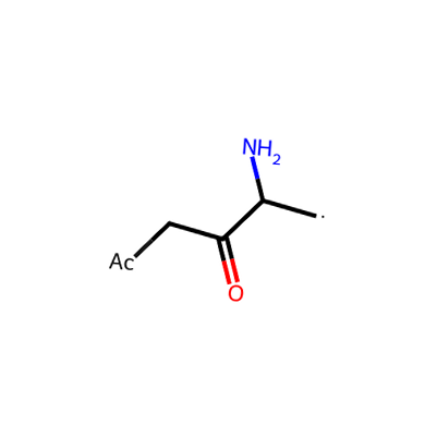 [CH2]C(N)C(=O)CC(C)=O